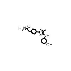 Cc1nc(-c2ccc(CC(N)=O)cc2)sc1NC1CCCC(O)C1